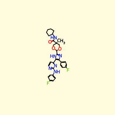 CC1(C(=O)NC2CCCCC2)COC(c2nc(-c3ccc(F)cc3)c(-c3ccnc(Nc4ccc(F)cc4)n3)[nH]2)OC1